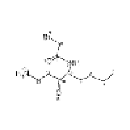 CCCCC(NC(=O)CBr)C(=O)[CH]CN